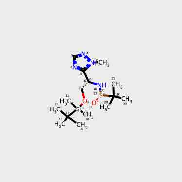 Cn1ncnc1[C@@H](CO[Si](C)(C)C(C)(C)C)N[S@@+]([O-])C(C)(C)C